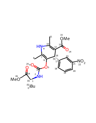 CC[C@H](C)[C@H](NC(=O)OC1=C(C)NC(C)=C(C(=O)OC)[C@@H]1c1cccc([N+](=O)[O-])c1)C(=O)OC